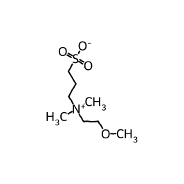 COCC[N+](C)(C)CCCS(=O)(=O)[O-]